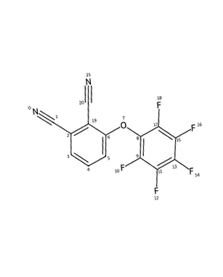 N#Cc1cccc(Oc2c(F)c(F)c(F)c(F)c2F)c1C#N